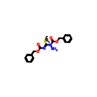 CSC(=NC(=O)OCc1ccccc1)N(N)C(=O)OCc1ccccc1